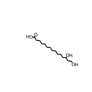 O=C(O)CCCCCCCCCCCC(O)CCO